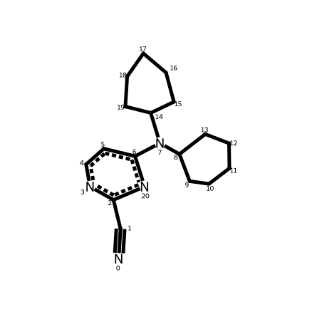 N#Cc1nccc(N(C2CCCCC2)C2CCCCC2)n1